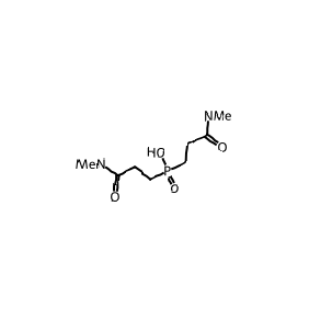 CNC(=O)CCP(=O)(O)CCC(=O)NC